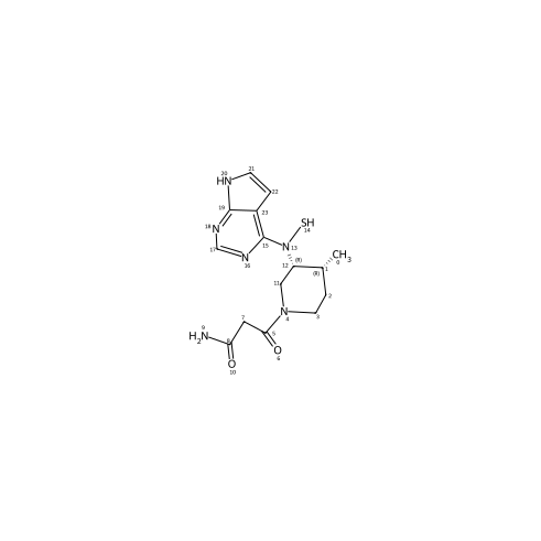 C[C@@H]1CCN(C(=O)CC(N)=O)C[C@@H]1N(S)c1ncnc2[nH]ccc12